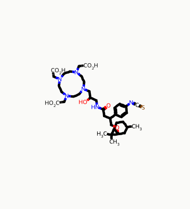 CC1CCC2C(C)(C)C2(OCC(CC(=O)NCC(O)CN2CCN(CC(=O)O)CCN(CC(=O)O)CCN(CC(=O)O)CC2)c2ccc(N=C=S)cc2)C1